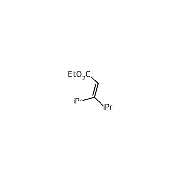 CCOC(=O)C=C(C(C)C)C(C)C